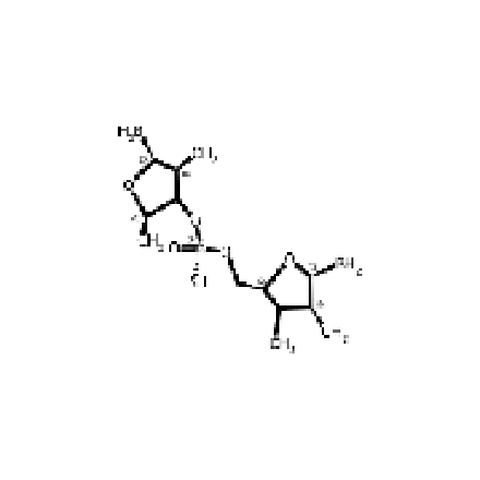 B[C@@H]1O[C@H](C)C(O[P@@](=O)(S)OC[C@H]2O[C@@H](B)[C@@H](C)C2C)[C@@H]1C